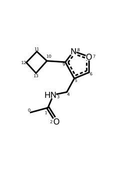 CC(=O)NCc1conc1C1CCC1